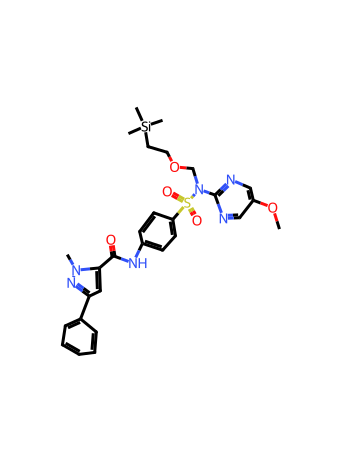 COc1cnc(N(COCC[Si](C)(C)C)S(=O)(=O)c2ccc(NC(=O)c3cc(-c4ccccc4)nn3C)cc2)nc1